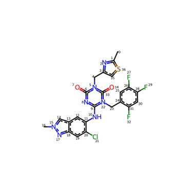 Cc1nc(Cn2c(=O)nc(Nc3cc4cn(C)nc4cc3Cl)n(Cc3cc(F)c(F)cc3F)c2=O)cs1